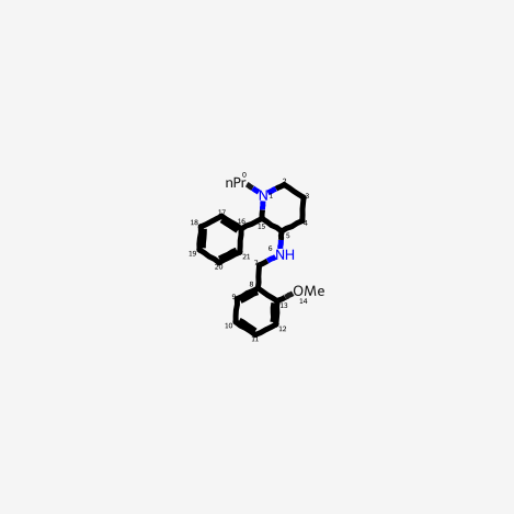 CCCN1CCCC(NCc2ccccc2OC)C1c1ccccc1